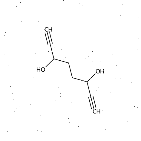 C#CC(O)CCC(O)C#C